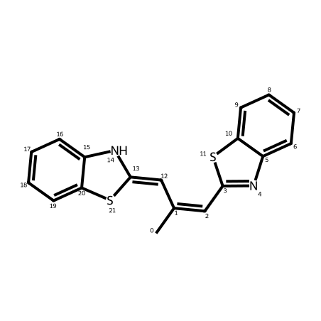 CC(=Cc1nc2ccccc2s1)C=C1Nc2ccccc2S1